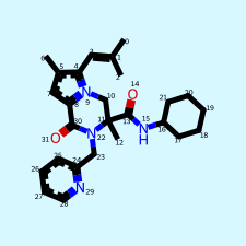 CC(C)=Cc1c(C)cc2n1CC(C)(C(=O)NC1CCCCC1)N(Cc1ccccn1)C2=O